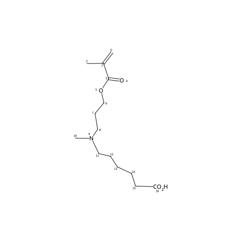 C=C(C)C(=O)OCCCN(C)CCCCCC(=O)O